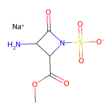 COC(=O)C1C(N)C(=O)N1S(=O)(=O)[O-].[Na+]